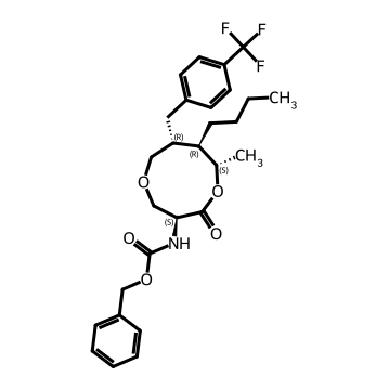 CCCC[C@@H]1[C@@H](Cc2ccc(C(F)(F)F)cc2)COC[C@H](NC(=O)OCc2ccccc2)C(=O)O[C@H]1C